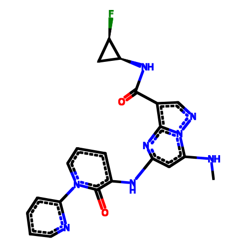 CNc1cc(Nc2cccn(-c3ccccn3)c2=O)nc2c(C(=O)N[C@H]3C[C@H]3F)cnn12